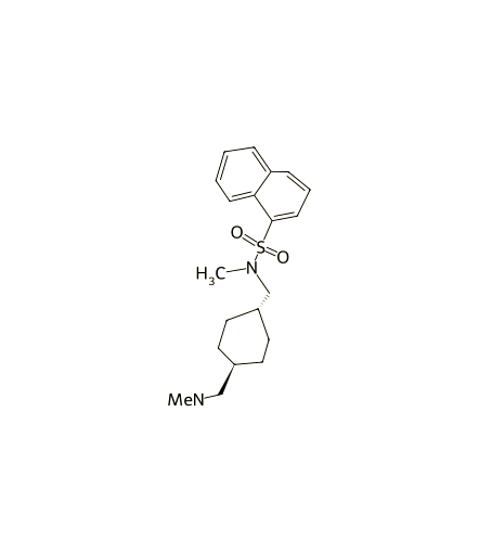 CNC[C@H]1CC[C@H](CN(C)S(=O)(=O)c2cccc3ccccc23)CC1